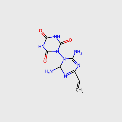 C=CC1=NC(N)N(n2c(=O)[nH]c(=O)[nH]c2=O)C(N)=N1